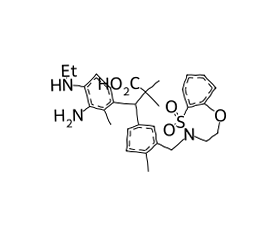 CCNc1ccc(C(c2ccc(C)c(CN3CCOc4ccccc4S3(=O)=O)c2)C(C)(C)C(=O)O)c(C)c1N